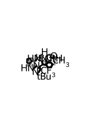 CC(C)(C)c1nc(N[C@H]2CCC[C@H]2CNC(=O)O)nc(-c2c[nH]c3c(P(C)(C)=O)cccc23)c1C(F)(F)F